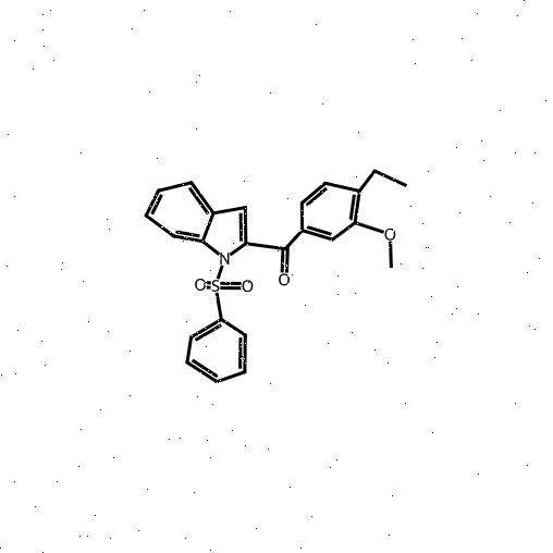 CCc1ccc(C(=O)c2cc3ccccc3n2S(=O)(=O)c2ccccc2)cc1OC